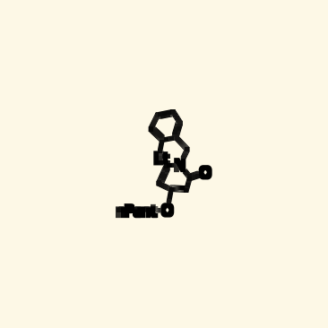 CCCCCOc1ccn(Cc2ccccc2CC)c(=O)c1